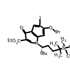 CCOC(=O)c1cn([C@H](CCC(C)(C)[Si](C)(C)O)C(C)(C)C)c2cc(OC(C)C)c(I)cc2c1=O